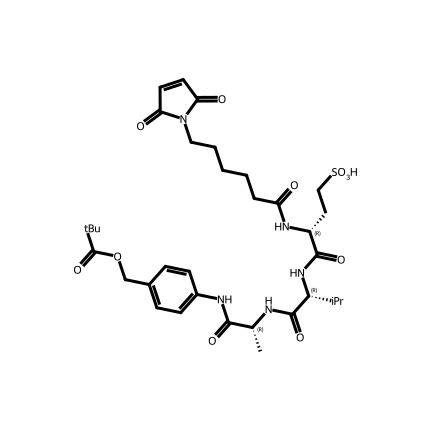 CC(C)[C@@H](NC(=O)[C@@H](CCS(=O)(=O)O)NC(=O)CCCCCN1C(=O)C=CC1=O)C(=O)N[C@H](C)C(=O)Nc1ccc(COC(=O)C(C)(C)C)cc1